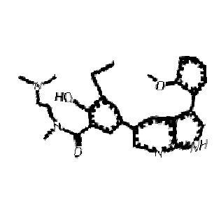 CCc1cc(-c2cnc3[nH]cc(-c4ccccc4OC)c3c2)cc(C(=O)N(C)CCN(C)C)c1O